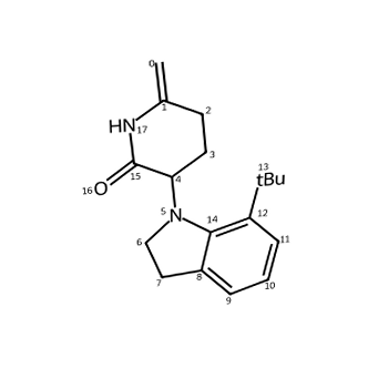 C=C1CCC(N2CCc3cccc(C(C)(C)C)c32)C(=O)N1